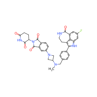 CN(Cc1ccc(-c2[nH]c3cc(F)cc4c3c2CCNC4=O)cc1)C1CN(c2ccc3c(c2)C(=O)N(C2CCC(=O)NC2=O)C3=O)C1